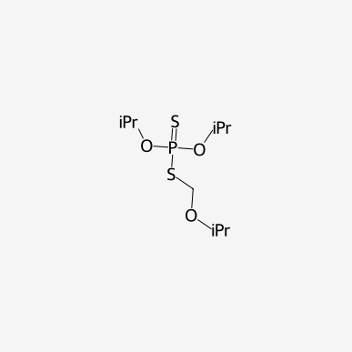 CC(C)OCSP(=S)(OC(C)C)OC(C)C